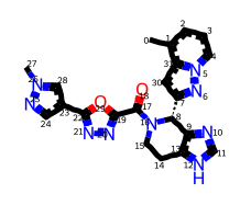 Cc1cccn2nc([C@@H]3c4nc[nH]c4CCN3C(=O)c3nnc(-c4cnn(C)c4)o3)cc12